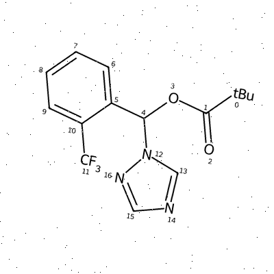 CC(C)(C)C(=O)OC(c1ccccc1C(F)(F)F)n1cncn1